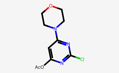 CC(=O)Oc1cc(N2CCOCC2)nc(Cl)n1